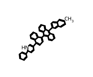 Cc1ccc2cc(-c3c4ccccc4c(-c4ccc(C5=CNC(c6ccccc6)C=C5)c5ccccc45)c4ccccc34)ccc2c1